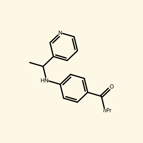 CCCC(=O)c1ccc(NC(C)c2cccnc2)cc1